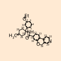 CCOc1cccc(C2(NC(=O)c3ccc4c(c3)OCc3cnccc3-4)CCC(C)CC2)c1